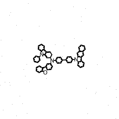 C1=c2c(n(-c3ccccc3)c3ccccc23)=CC(N(c2ccc(-c3ccc(-n4c5ccccc5c5cc6ccccc6cc54)cc3)cc2)c2ccc3oc4ccccc4c3c2)C1